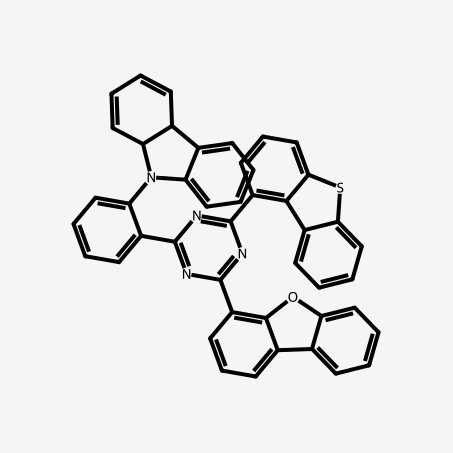 C1=CC2c3ccccc3N(c3ccccc3-c3nc(-c4cccc5c4oc4ccccc45)nc(-c4cccc5sc6ccccc6c45)n3)C2C=C1